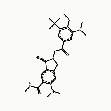 CNC(=O)c1cc2c(cc1N(C)C)CN(CC(=O)c1cc(N(C)C)c(OC)c(C(C)(C)C)c1)C2=N